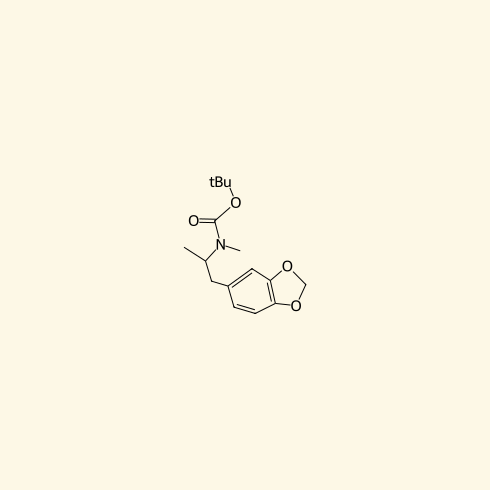 CC(Cc1ccc2c(c1)OCO2)N(C)C(=O)OC(C)(C)C